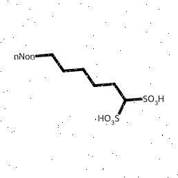 CCCCCCCCCCCCCCC(S(=O)(=O)O)S(=O)(=O)O